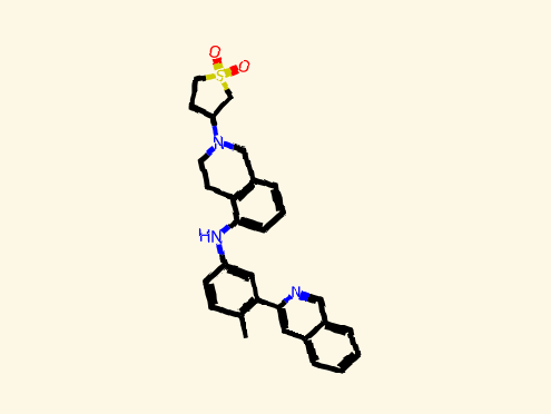 Cc1ccc(Nc2cccc3c2CCN(C2CCS(=O)(=O)C2)C3)cc1-c1cc2ccccc2cn1